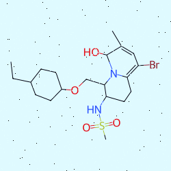 CCC1CCC(OCC2C(NS(C)(=O)=O)CCC3=C(Br)C=C(C)C(O)N32)CC1